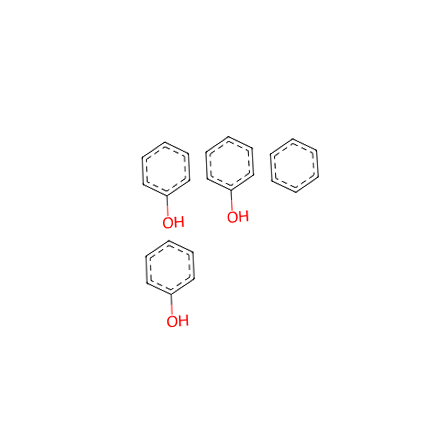 Oc1ccccc1.Oc1ccccc1.Oc1ccccc1.c1ccccc1